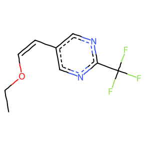 CCO/C=C\c1cnc(C(F)(F)F)nc1